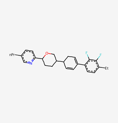 CCCc1ccc(C2CCC(C3C=CC(c4ccc(CC)c(F)c4F)=CC3)CO2)nc1